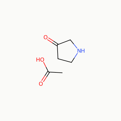 CC(=O)O.O=C1CCNC1